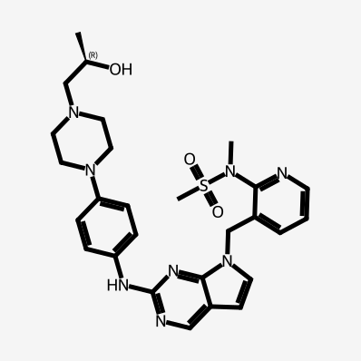 C[C@@H](O)CN1CCN(c2ccc(Nc3ncc4ccn(Cc5cccnc5N(C)S(C)(=O)=O)c4n3)cc2)CC1